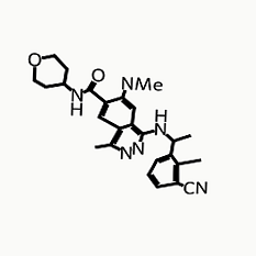 CNc1cc2c(NC(C)c3cccc(C#N)c3C)nnc(C)c2cc1C(=O)NC1CCOCC1